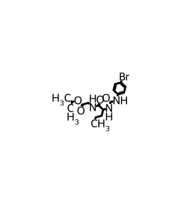 CCCC(NC(=O)Nc1ccc(Br)cc1)C(=O)NCC(=O)OC(C)C